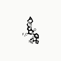 Cn1cnnc1C1(c2cccc(-n3cc(C(F)(F)F)c4cc(CN5CCC6CC6C5)[nH]c4c3=O)c2)CCC1